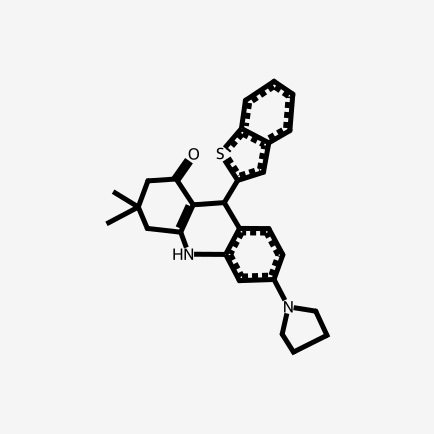 CC1(C)CC(=O)C2=C(C1)Nc1cc(N3CCCC3)ccc1C2c1cc2ccccc2s1